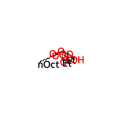 CCCCCCCC/C=C\CCCCCCCC(=O)OC(C)(C)CCOC(C)(C)CC(C1OCC(C(C)(C)OCC)C1C(C)(C)OCC)C(C)(C)OCCC(C)(C)O